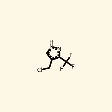 FC(F)(F)c1n[nH][c]c1CCl